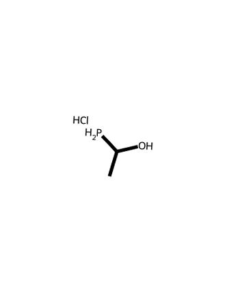 CC(O)P.Cl